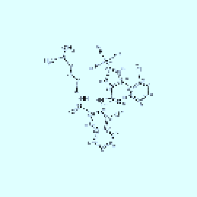 CC(C)CSCCNC(=O)c1cc2ccccc2c(Cl)c1NC(=O)c1cc(C(F)(F)F)nn1-c1ncccc1Cl